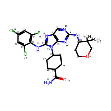 CC1(C)COCC[C@H]1Nc1ncc2nc(Nc3c(F)cc(Cl)cc3Cl)n(C3CCC(C(N)=O)CC3)c2n1